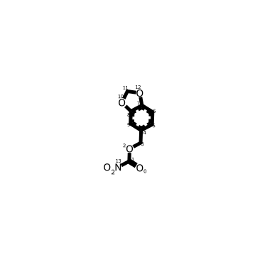 O=C(OCc1ccc2c(c1)OCO2)[N+](=O)[O-]